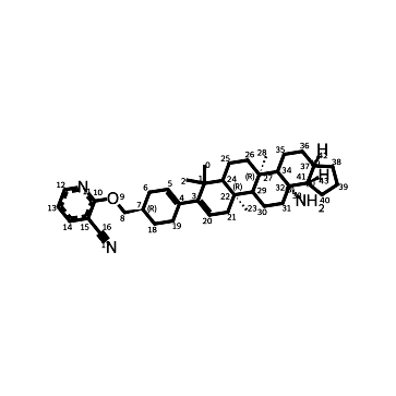 CC1(C)C(C2=CC[C@H](COc3ncccc3C#N)CC2)=CC[C@@]2(C)C1CC[C@]1(C)C2CC[C@@]2(N)C1CC[C@@H]1CCC[C@@H]12